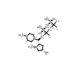 CN1CCN(C(=O)[C@@H]2C[C@H](S)CN2C)CC1.O=S(=O)(O)C(F)(F)F.O=S(=O)(O)C(F)(F)F